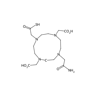 NC(=O)CN1CCN(CC(=O)O)CCN(CC(=O)S)CCN(CC(=O)O)CC1